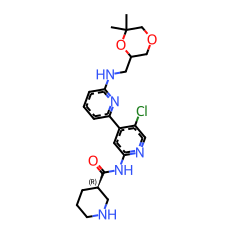 CC1(C)COCC(CNc2cccc(-c3cc(NC(=O)[C@@H]4CCCNC4)ncc3Cl)n2)O1